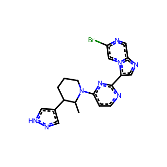 CC1C(c2cn[nH]c2)CCCN1c1ccnc(-c2cnc3cnc(Br)cn23)n1